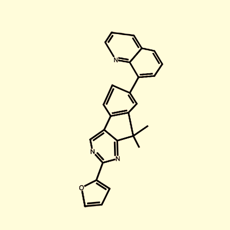 CC1(C)c2cc(-c3cccc4cccnc34)ccc2-c2cnc(-c3ccco3)nc21